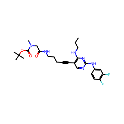 CCCNc1nc(Nc2ccc(F)c(F)c2)ncc1C#CCCCNC(=O)CN(C)C(=O)OC(C)(C)C